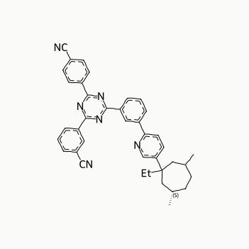 CCC1(c2ccc(-c3cccc(-c4nc(-c5ccc(C#N)cc5)nc(-c5cccc(C#N)c5)n4)c3)nc2)CC(C)CC[C@H](C)C1